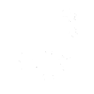 CC[C@H]1OC(=O)[C@@](C)(F)C(=O)[C@H](C)[C@@H](OC2OC(C)C(O)C(N(C)C)C2O)[C@@](C)(OC)C[C@@H](C)C(=O)[C@H](C)[C@H]2N(CCCCn3cc(Cn4nnc5ccccc54)nn3)C(=O)O[C@]12C